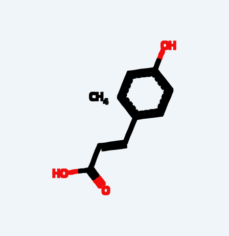 C.O=C(O)C=Cc1ccc(O)cc1